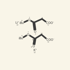 CCC(C)OC(=O)CC(=O)[O-].CCC(C)OC(=O)CC(=O)[O-].[K+].[Li+]